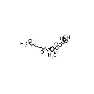 COc1cc(CNC(=O)CCCC/C=C/C(C)C)ccc1OC(=O)OCOS(=O)(=O)O